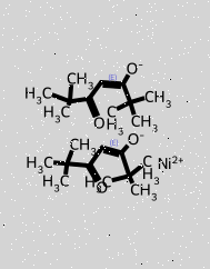 CC(C)(C)C(=O)/C=C(/[O-])C(C)(C)C.CC(C)(C)C(=O)/C=C(/[O-])C(C)(C)C.[Ni+2]